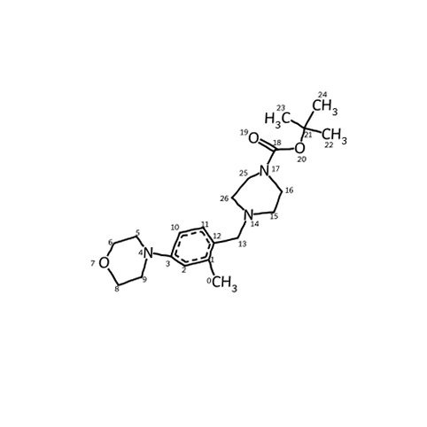 Cc1cc(N2CCOCC2)ccc1CN1CCN(C(=O)OC(C)(C)C)CC1